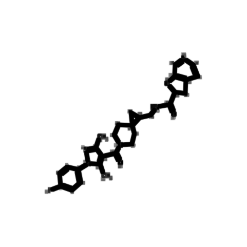 Cc1nn(-c2ccc(F)cc2)c(C)c1C(=O)N1CCC2(CC1)CC2CNC(=O)C1Cc2ccncc2O1